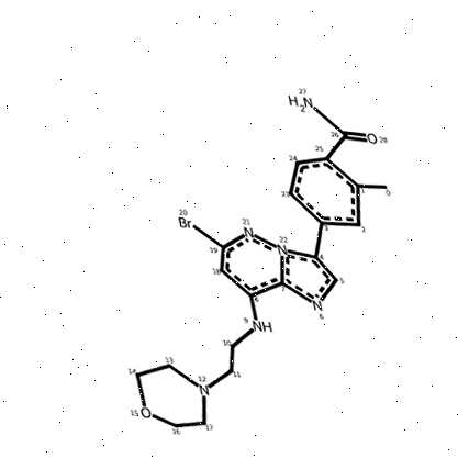 Cc1cc(-c2cnc3c(NCCN4CCOCC4)cc(Br)nn23)ccc1C(N)=O